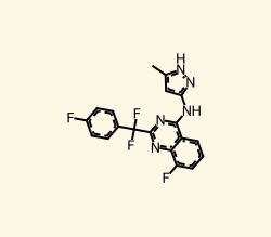 Cc1cc(Nc2nc(C(F)(F)c3ccc(F)cc3)nc3c(F)cccc23)n[nH]1